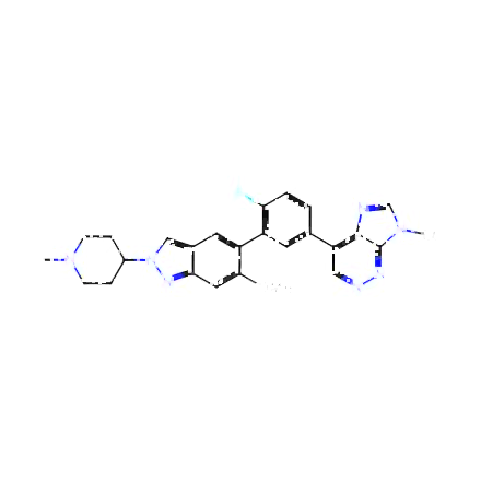 CCn1cnc2c(-c3ccc(F)c(-c4cc5cn(C6CCN(C)CC6)nc5cc4OC)c3)cnnc21